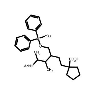 CC(=O)NC(C)C(C)C(CCC1(C(=O)O)CCCC1)CO[Si](c1ccccc1)(c1ccccc1)C(C)(C)C